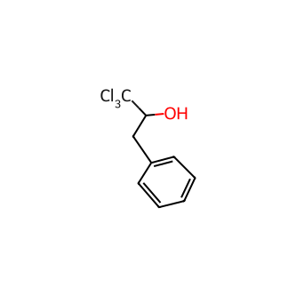 OC(Cc1ccccc1)C(Cl)(Cl)Cl